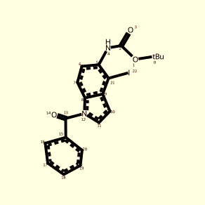 CC(C)(C)OC(=O)Nc1ccc2c(ccn2C(=O)c2ccccc2)c1I